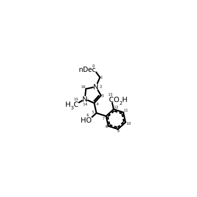 CCCCCCCCCCCN1C=C(C(O)c2ccccc2C(=O)O)N(C)C1